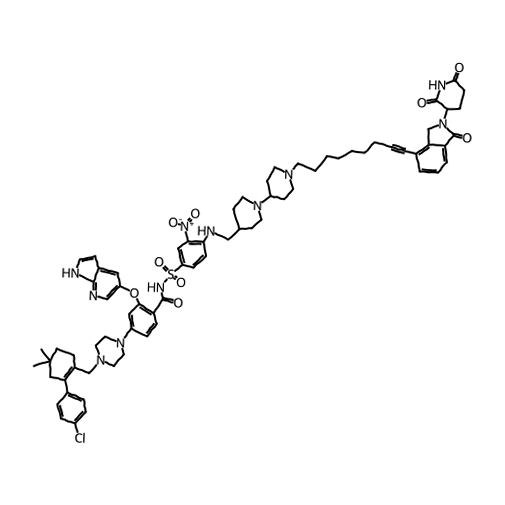 CC1(C)CCC(CN2CCN(c3ccc(C(=O)NS(=O)(=O)c4ccc(NCC5CCN(C6CCN(CCCCCCCC#Cc7cccc8c7CN(C7CCC(=O)NC7=O)C8=O)CC6)CC5)c([N+](=O)[O-])c4)c(Oc4cnc5[nH]ccc5c4)c3)CC2)=C(c2ccc(Cl)cc2)C1